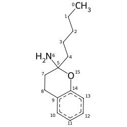 CCCCCC1(N)CCc2ccccc2O1